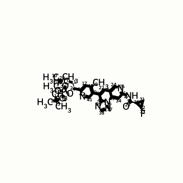 CC[C@@H](OP(=O)(OC(C)(C)C)OC(C)(C)C)c1cc(C)c(-c2cc3cnc(NC(=O)[C@H]4C[C@H]4F)cc3n3ncnc23)cn1